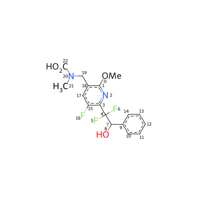 COc1nc(C(F)(F)C(O)c2ccccc2)c(F)cc1CN(C)C(=O)O